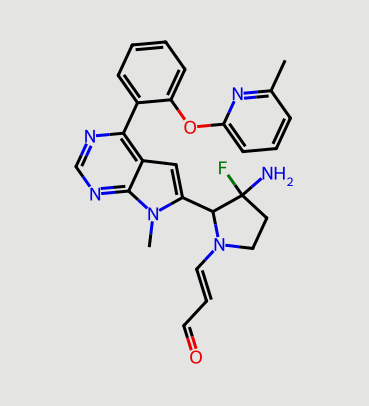 Cc1cccc(Oc2ccccc2-c2ncnc3c2cc(C2N(C=CC=O)CCC2(N)F)n3C)n1